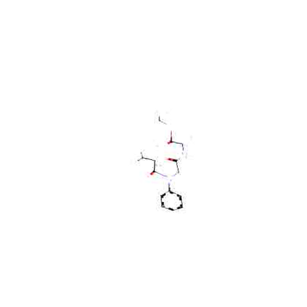 CCOC(=O)[C@H](C)NC(=O)CN(C(=O)CC(C)C)c1ccccc1